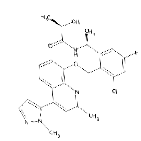 Cc1cc(-c2ccnn2C)c2cccc(OCc3c(Cl)cc(F)cc3[C@H](C)NC(=O)[C@@H](C)O)c2n1